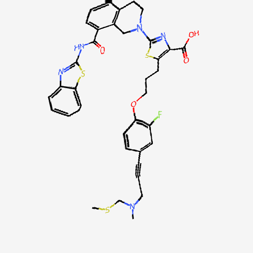 CSCN(C)CC#Cc1ccc(OCCCc2sc(N3CCc4cccc(C(=O)Nc5nc6ccccc6s5)c4C3)nc2C(=O)O)c(F)c1